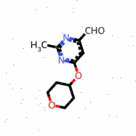 Cc1nc(C=O)cc(OC2CCOCC2)n1